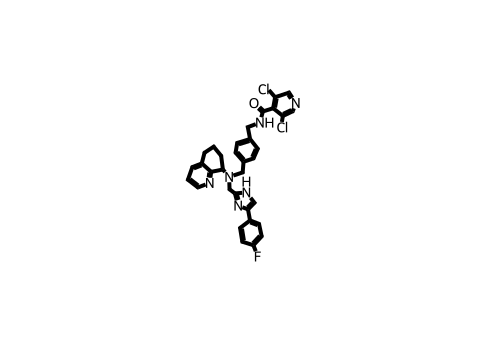 O=C(NCc1ccc(CN(Cc2nc(-c3ccc(F)cc3)c[nH]2)C2CCCc3cccnc32)cc1)c1c(Cl)cncc1Cl